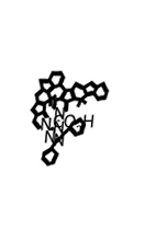 CC1(C)C2=c3c(-c4c5ccn(C(=O)O)cc-5c5c4C=C4C=c6ccccc6=C4C5(C)C)cccc3=CC2=Cc2cc3ccn(-c4nc(-c5ccccc5)nc(-c5ccccc5)n4)cc-3c21